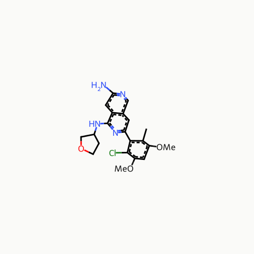 COc1cc(OC)c(Cl)c(-c2cc3cnc(N)cc3c(NC3CCOC3)n2)c1C